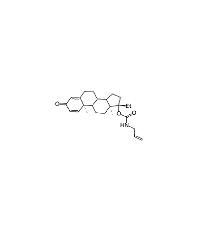 C=CCNC(=O)O[C@@]1(CC)CCC2C3CCC4=CC(=O)C=C[C@]4(C)C3CC[C@@]21C